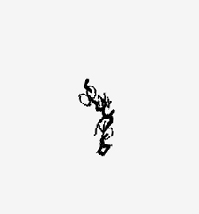 CCOC(=O)c1cc(-c2cnc(OCC3CCC3)cc2C)n(C)n1